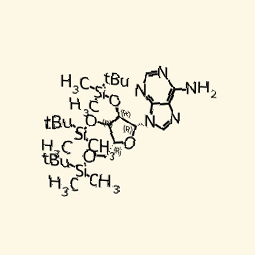 CC(C)(C)[Si](C)(C)OC[C@H]1O[C@@H](n2cnc3c(N)ncnc32)[C@H](O[Si](C)(C)C(C)(C)C)[C@@H]1O[Si](C)(C)C(C)(C)C